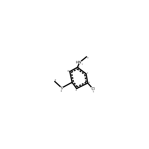 CNc1cc(Cl)cc(SC)c1